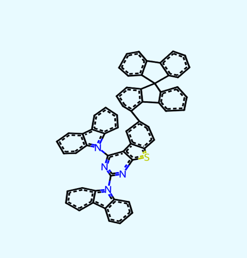 c1ccc2c(c1)-c1ccccc1C21c2ccccc2-c2c(-c3ccc4sc5nc(-n6c7ccccc7c7ccccc76)nc(-n6c7ccccc7c7ccccc76)c5c4c3)cccc21